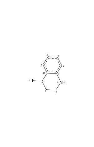 IC1CCNc2ccccc21